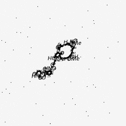 CO[C@H]1/C=C\C=C(/C)C(=O)NC2=CC(O)C(NCCOC(=O)Nc3cccc4c3C(=O)N([C@H]3CCC(=O)NC3=O)C4=O)=C(C[C@@H](C)C[C@H](OC)[C@@H](O)[C@@H](C)/C=C(\C)[C@@H]1OC(N)=O)C2=O